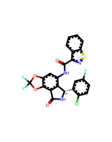 O=C1N[C@@H](c2cc(F)ccc2Cl)c2c(NC(=O)c3nsc4ccccc34)cc3c(c21)OC(F)(F)O3